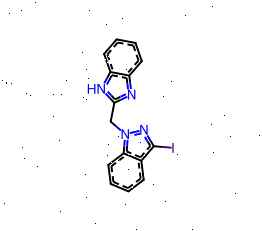 Ic1nn(Cc2nc3ccccc3[nH]2)c2ccccc12